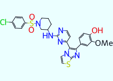 COc1cc(-c2nc3sccn3c2-c2ccnc(NC3CCCN(S(=O)(=O)c4ccc(Cl)cc4)C3)n2)ccc1O